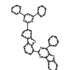 c1ccc(-c2cc(-c3ccccc3)nc(-c3ccc4c(c3)sc3c(-c5nc(-c6ccccc6)c6sc7ccccc7c6n5)cccc34)n2)cc1